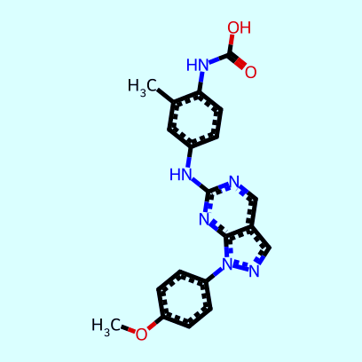 COc1ccc(-n2ncc3cnc(Nc4ccc(NC(=O)O)c(C)c4)nc32)cc1